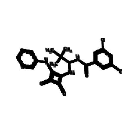 CC(C)(C)C(NC(=O)c1cc(Cl)cc(Cl)c1)Nc1c(Nc2cccnc2)c(=O)c1=O